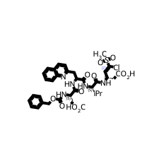 CC(C)[C@H](NC(=O)C(Cc1ccc2ccccc2n1)NC(=O)[C@H](CC(=O)O)NC(=O)OCc1ccccc1)C(=O)N[C@H](/C=C(\Cl)S(C)(=O)=O)CC(=O)O